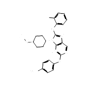 COc1ccc(Nc2ncc3nc(Nc4ccccc4F)n([C@H]4CC[C@H](NC=O)CC4)c3n2)cc1